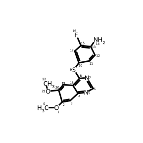 COc1cc2ncnc(Sc3ccc(N)c(F)c3)c2cc1OC